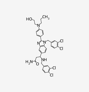 CCCN(CCO)c1ccc(-c2nc3cc(C(CC(N)=O)NCc4ccc(Cl)c(Cl)c4)ccc3n2Cc2ccc(Cl)c(Cl)c2)cc1